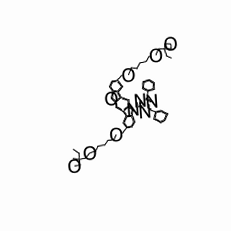 CCC1(COCCCCCOCc2ccc3oc4cc5c6cc(COCCCCCOCC7(CC)COC7)ccc6n(-c6nc(-c7ccccc7)nc(-c7ccccc7)n6)c5cc4c3c2)COC1